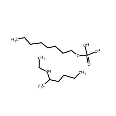 CCCCC(C)NCC.CCCCCCCCOP(=O)(O)O